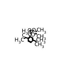 CCOP(=O)(OCC)Oc1cc(C(C)C)ccc1C(C)C